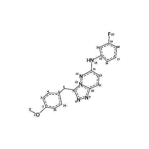 COc1ccc(Cc2nnc3ccc(Nc4cccc(F)c4)nn23)cc1